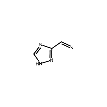 S=Cc1nc[nH]n1